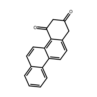 O=C1CC(=O)c2c(ccc3c2ccc2ccccc23)C1